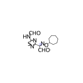 O=[C]/C(=N\OC1CCCCCC1)c1nsc(NC=O)n1